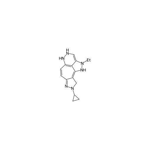 CCN1NC2=C3CN(C4CC4)N=C3C=CC3=C2C1=CNN3